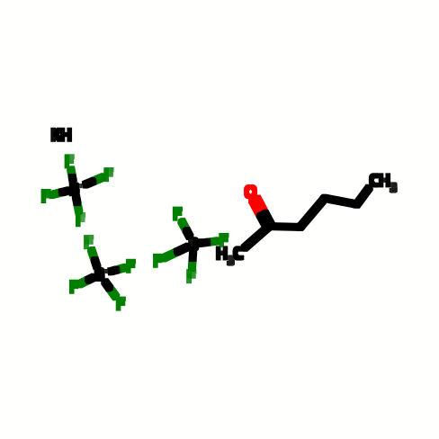 CCCCC(C)=O.F[B-](F)(F)F.F[B-](F)(F)F.F[B-](F)(F)F.[KH]